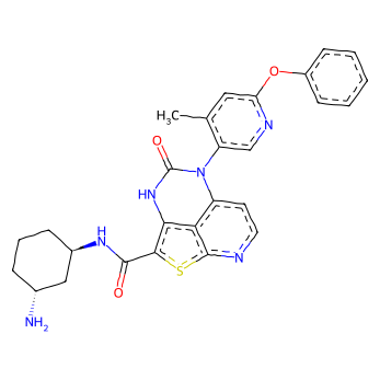 Cc1cc(Oc2ccccc2)ncc1N1C(=O)Nc2c(C(=O)N[C@@H]3CCC[C@@H](N)C3)sc3nccc1c23